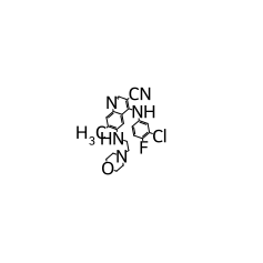 Cc1cc2ncc(C#N)c(Nc3ccc(F)c(Cl)c3)c2cc1NCCN1CCOCC1